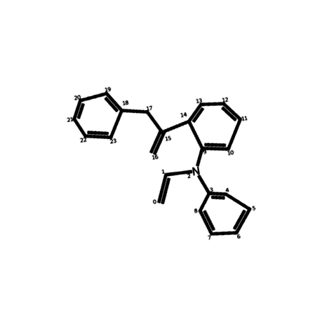 C=CN(c1ccccc1)c1ccccc1C(=C)Cc1ccccc1